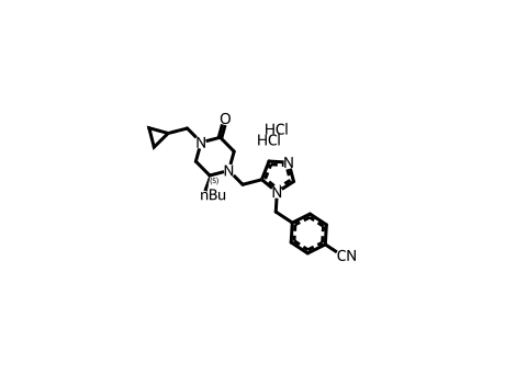 CCCC[C@H]1CN(CC2CC2)C(=O)CN1Cc1cncn1Cc1ccc(C#N)cc1.Cl.Cl